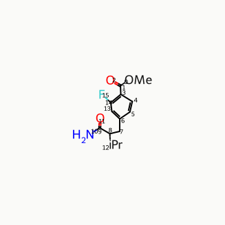 COC(=O)c1ccc(CC(C(N)=O)C(C)C)cc1F